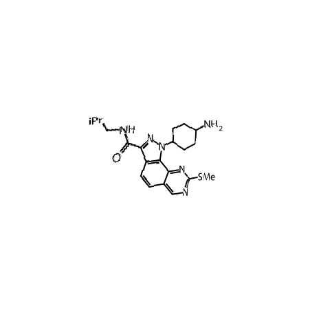 CSc1ncc2ccc3c(C(=O)NCC(C)C)nn(C4CCC(N)CC4)c3c2n1